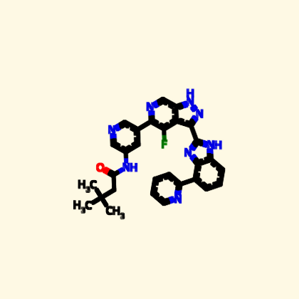 CC(C)(C)CC(=O)Nc1cncc(-c2ncc3[nH]nc(-c4nc5c(-c6ccccn6)cccc5[nH]4)c3c2F)c1